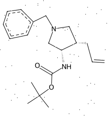 C=CC[C@H]1CN(Cc2ccccc2)C[C@H]1NC(=O)OC(C)(C)C